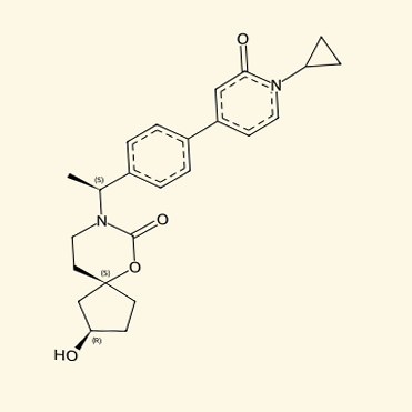 C[C@@H](c1ccc(-c2ccn(C3CC3)c(=O)c2)cc1)N1CC[C@]2(CC[C@@H](O)C2)OC1=O